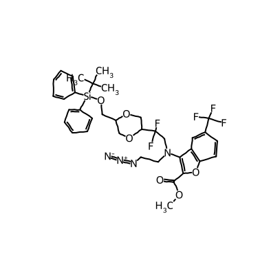 COC(=O)c1oc2ccc(C(F)(F)F)cc2c1N(CCN=[N+]=[N-])CC(F)(F)C1COC(CO[Si](c2ccccc2)(c2ccccc2)C(C)(C)C)CO1